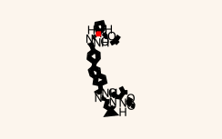 COC(=O)N[C@H](C(=O)N1CC2(CC2)C[C@H]1c1ncc(-c2ccc3cc(-c4ccc(-c5cnc([C@@H]6[C@H]7CC[C@H](C7)N6C(=O)OC(C)(C)C)[nH]5)cc4)ccc3c2)[nH]1)C(C)C